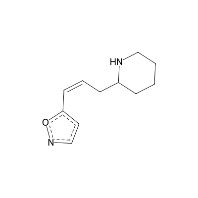 C(=C/c1ccno1)/CC1CCCCN1